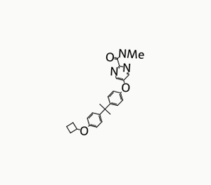 CNC(=O)c1ncc(Oc2ccc(C(C)(C)c3ccc(OC4CCC4)cc3)cc2)cn1